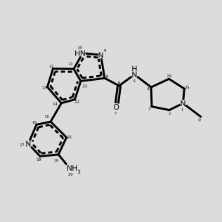 CN1CCC(NC(=O)c2n[nH]c3ccc(-c4cncc(N)c4)cc23)CC1